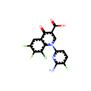 Nc1nc(-n2cc(C(=O)O)c(=O)c3cc(F)c(F)c(Cl)c32)ccc1F